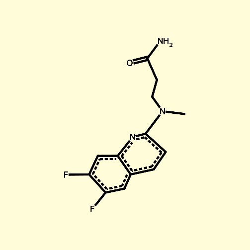 CN(CCC(N)=O)c1ccc2cc(F)c(F)cc2n1